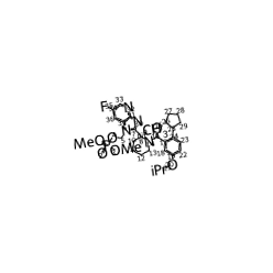 COP(=O)(OC)OCn1c([C@]2(C)CCCCN2C(=O)c2cc(OC(C)C)ccc2C2CCCC2)nc2ncc(F)cc21